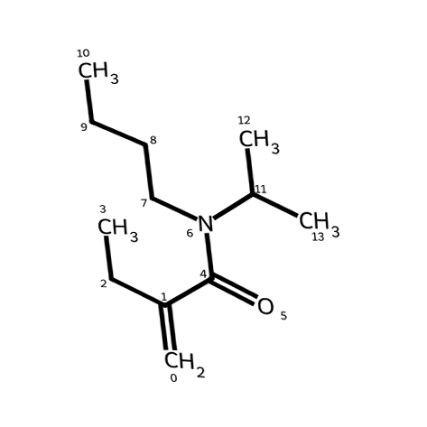 C=C(CC)C(=O)N(CCCC)C(C)C